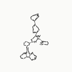 c1ccc(-c2ccc(-c3cc(-c4cccc(-n5c6ccccc6c6ccccc65)c4)nc(-c4cccs4)n3)cc2)cc1